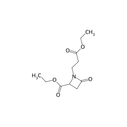 CCOC(=O)CCN1C(=O)CC1C(=O)OCC